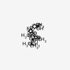 COc1cc(F)c(O[C@H]2CC[C@@](C)(C(=O)O)CC2)cc1C(=O)N[C@H]1C[C@H](OC)C[C@H]1C(=O)NCC(C)(C)C